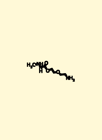 CNNC(=O)OCCOCCN